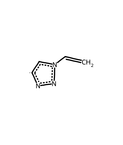 C=Cn1c[c]nn1